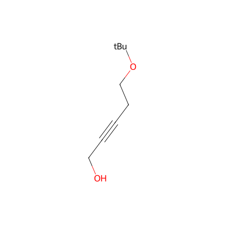 CC(C)(C)OCCC#CCO